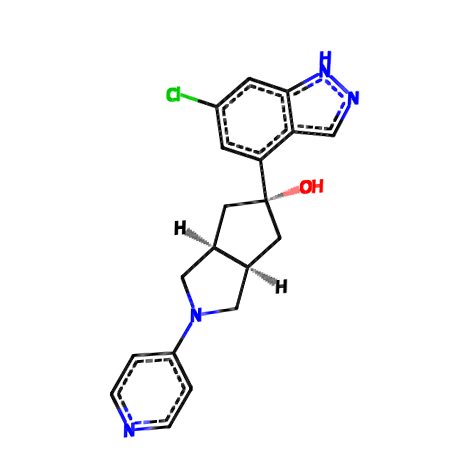 O[C@]1(c2cc(Cl)cc3[nH]ncc23)C[C@H]2CN(c3ccncc3)C[C@H]2C1